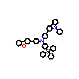 c1ccc(-n2c3ccccc3c3ccc(-c4ccc(N(c5ccc(-c6ccc7c(c6)oc6ccccc67)cc5)c5ccc([Si](c6ccccc6)(c6ccccc6)c6ccccc6)cc5)cc4)cc32)cc1